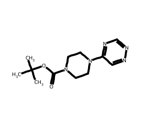 CC(C)(C)OC(=O)N1CCN(c2cnncn2)CC1